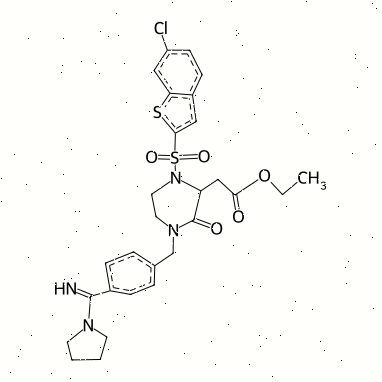 CCOC(=O)CC1C(=O)N(Cc2ccc(C(=N)N3CCCC3)cc2)CCN1S(=O)(=O)c1cc2ccc(Cl)cc2s1